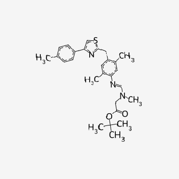 Cc1ccc(-c2csc(Cc3cc(C)c(N=CN(C)CC(=O)OC(C)(C)C)cc3C)n2)cc1